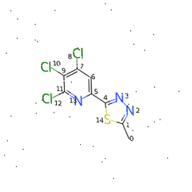 Cc1nnc(-c2cc(Cl)c(Cl)c(Cl)n2)s1